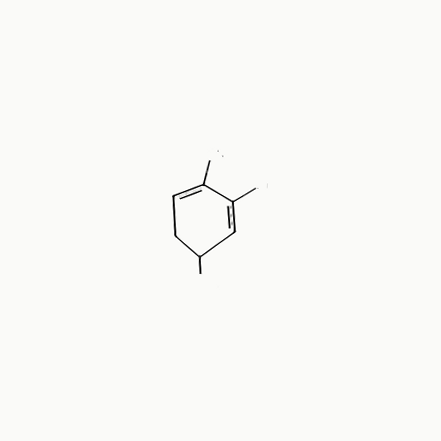 CCC1=CC(C)CC=C1C#N